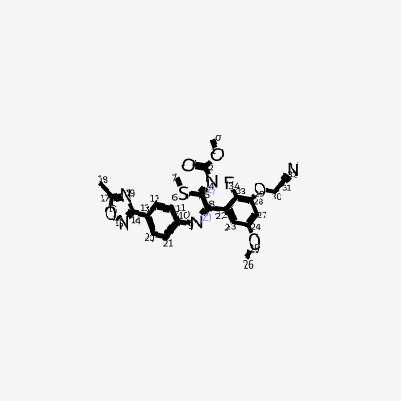 COC(=O)/N=C(SC)/C(=N\c1ccc(-c2noc(C)n2)cc1)c1cc(OC)cc(OCC#N)c1F